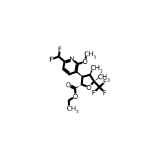 CCOC(=O)[C@H]1O[C@](C)(C(F)(F)F)[C@H](C)[C@@H]1c1ccc(C(F)F)nc1OC